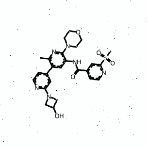 Cc1nc(N2CCOCC2)c(NC(=O)c2ccnc(S(C)(=O)=O)c2)cc1-c1ccnc(N2CC(O)C2)c1